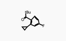 CC(C)(C)C(=O)c1ccc(F)cc1C1CC1